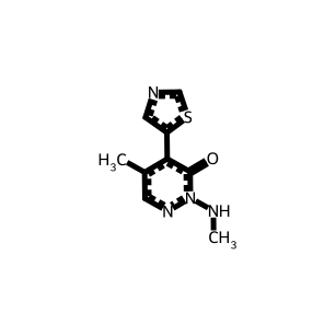 CNn1ncc(C)c(-c2cncs2)c1=O